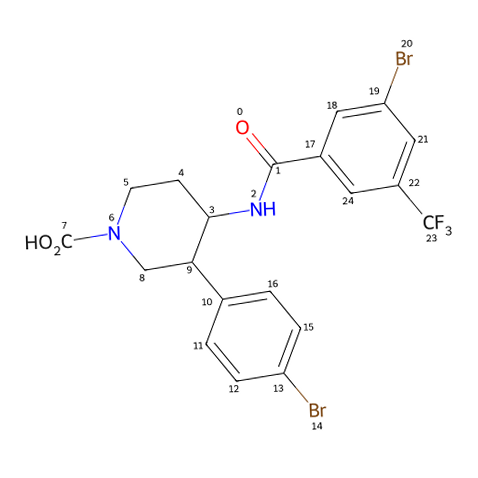 O=C(NC1CCN(C(=O)O)CC1c1ccc(Br)cc1)c1cc(Br)cc(C(F)(F)F)c1